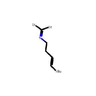 CCCC/C=C/CCN=C(CC)CC